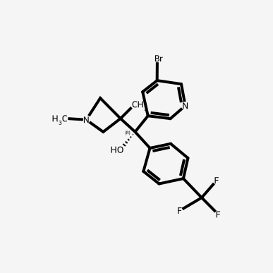 CN1CC(C)([C@](O)(c2ccc(C(F)(F)F)cc2)c2cncc(Br)c2)C1